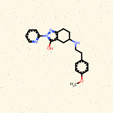 COc1ccc(CCNC2CCc3nn(-c4ccccn4)c(O)c3C2)cc1